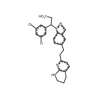 O=C(O)CC(c1cc(Cl)cc(Cl)c1)n1ncc2cc(CCc3ccc4c(n3)NCCC4)ccc21